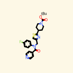 CC(C)(C)OC(=O)N1CCC(c2nc(CN(C(=O)c3ccncc3)c3ccc(F)cc3)cs2)CC1